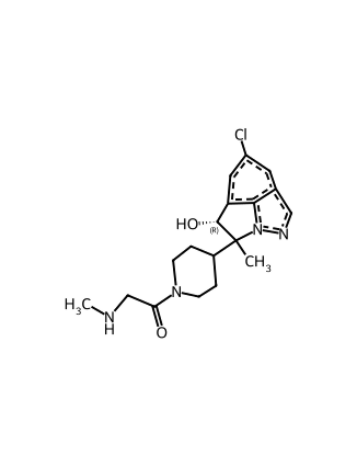 CNCC(=O)N1CCC(C2(C)[C@H](O)c3cc(Cl)cc4cnn2c34)CC1